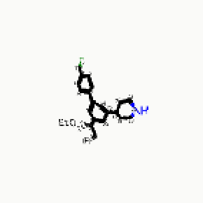 CCOC(=O)C(CC(C)C)c1cc(-c2ccc(CF)cc2)cc(C2CCNCC2)c1